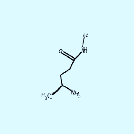 CCNC(=O)CCC(C)N